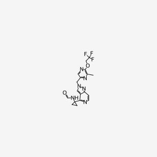 Cc1nc(Cn2cc3c(C4(NC=O)CC4)nccc3n2)cnc1OCC(F)(F)F